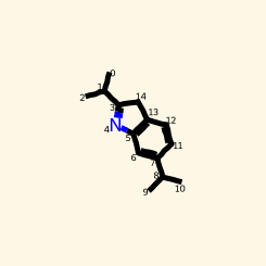 CC(C)C1=Nc2cc(C(C)C)ccc2C1